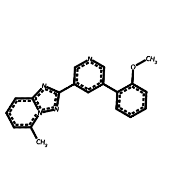 COc1ccccc1-c1cncc(-c2nc3cccc(C)n3n2)c1